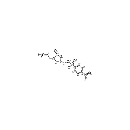 C=CCN1CC(COS(=O)(=O)c2ccc([N+](=O)[O-])cc2)OC1=O